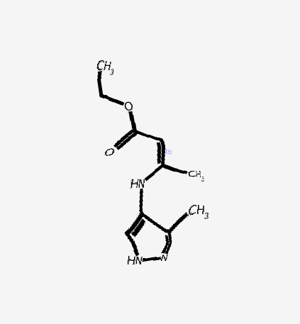 CCOC(=O)/C=C(/C)Nc1c[nH]nc1C